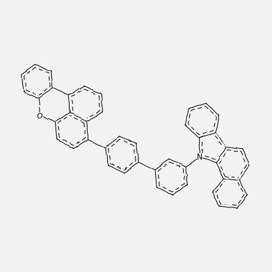 c1cc(-c2ccc(-c3ccc4c5c(cccc35)-c3ccccc3O4)cc2)cc(-n2c3ccccc3c3ccc4ccccc4c32)c1